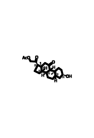 CC(=O)OCC(=O)[C@H]1CC[C@H]2[C@@H]3CC[C@H]4C[C@@H](O)CC[C@]4(C)[C@H]3C(=O)C[C@]12C